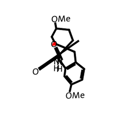 COc1ccc2c(c1)C1(NC(=O)NC1=O)C1(CCC(OC)CC1)C2